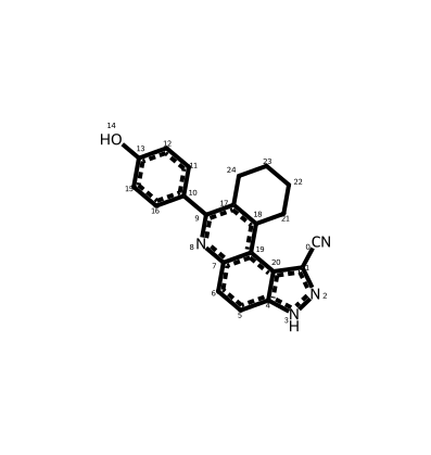 N#Cc1n[nH]c2ccc3nc(-c4ccc(O)cc4)c4c(c3c12)CCCC4